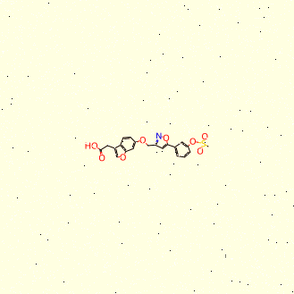 CS(=O)(=O)Oc1cccc(-c2cc(COc3ccc4c(CC(=O)O)coc4c3)no2)c1